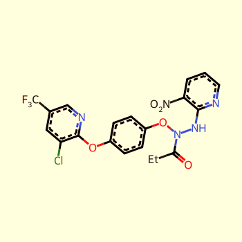 CCC(=O)N(Nc1ncccc1[N+](=O)[O-])Oc1ccc(Oc2ncc(C(F)(F)F)cc2Cl)cc1